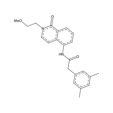 COCCn1ccc2c(NC(=O)Cc3cc(C)cc(C)c3)cccc2c1=O